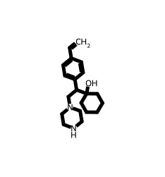 C=Cc1ccc(C(CN2CCNCC2)C2(O)CCCCC2)cc1